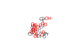 CCC1C2CC3CC(C2)CC1(OC(=O)C(C)(CC)CC(C)(CC(C)(CC(CC(C)(C)C(=O)OCC12CC4CC(CC(O)(C4)C1)C2)C(=O)OCC(=O)OC1C2CC4C(=O)OC1C4C2)C(=O)OC1CCOC1=O)C(=O)OC1(C(C)C)CCCC1)C3